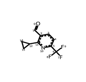 O=Cc1ccc(C(F)(F)F)nc1C1CC1